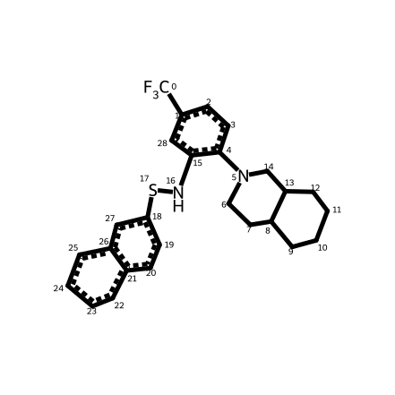 FC(F)(F)c1ccc(N2CCC3CCCCC3C2)c(NSc2ccc3ccccc3c2)c1